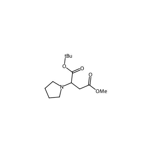 COC(=O)CC(C(=O)OC(C)(C)C)N1CCCC1